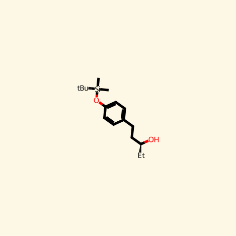 CC[C@H](O)CCc1ccc(O[Si](C)(C)C(C)(C)C)cc1